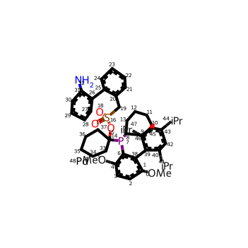 COc1ccc(OC)c(P(C2CCCCC2)C2(OS(=O)(=O)Cc3ccccc3-c3ccccc3N)CCCCC2)c1-c1c(C(C)C)cc(C(C)C)cc1C(C)C.[Pd]